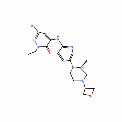 CCn1nc(Br)cc(Nc2ccc(N3CCN(C4COC4)C[C@@H]3C)cn2)c1=O